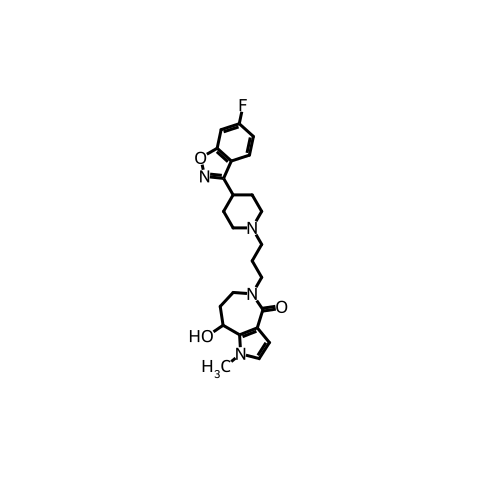 Cn1ccc2c1C(O)CCN(CCCN1CCC(c3noc4cc(F)ccc34)CC1)C2=O